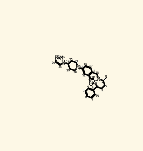 C[C@H]1CCC(c2ccccc2)S(=O)(=O)N1Cc1ccc(N2CCC(n3ccnn3)CC2)cc1F